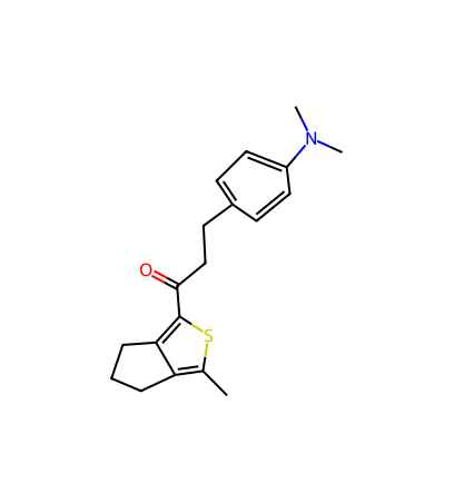 Cc1sc(C(=O)CCc2ccc(N(C)C)cc2)c2c1CCC2